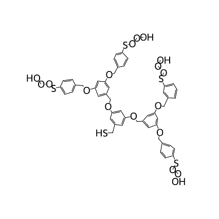 OOOSc1ccc(COc2cc(COc3cc(CS)cc(OCc4cc(OCc5ccc(SOOO)cc5)cc(OCc5cccc(SOOO)c5)c4)c3)cc(OCc3ccc(SOOO)cc3)c2)cc1